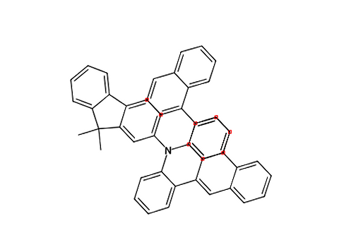 CC1(C)c2ccccc2-c2ccc(N(c3ccccc3-c3cccc4ccccc34)c3ccccc3-c3cc4ccccc4c4ccccc34)cc21